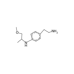 COCC(C)Nc1ccc(CCN)cc1